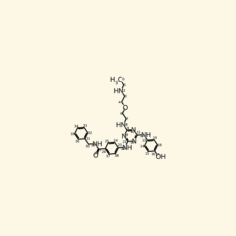 CCNCCOCCNc1nc(Nc2ccc(O)cc2)nc(Nc2ccc(C(=O)NCc3ccccc3)cc2)n1